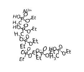 CCOP(=O)([O-])CC.CCOP(=O)([O-])CC.CCOP(=O)([O-])CC.CCOP(C)(=O)O.CCOP(C)(=O)O.CCOP(C)(=O)O.[Al+3]